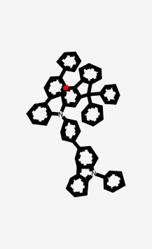 c1ccc(-c2ccc(-c3ccccc3N(c3ccc(-c4ccc5c(c4)c4ccccc4n5-c4ccccc4)cc3)c3ccc4c(c3)C(c3ccccc3)(c3ccccc3)c3ccccc3-4)cc2)cc1